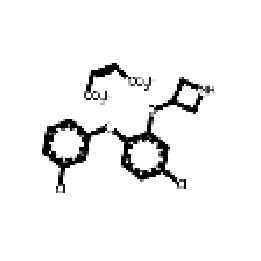 Clc1cccc(Oc2ccc(Cl)cc2OC2CNC2)c1.O=C(O)/C=C\C(=O)O